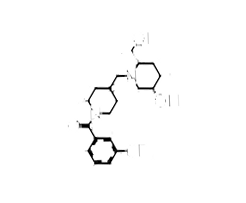 O=C(c1cccc(C(F)(F)F)c1)N1CCC(CN2C[C@H](O)CC[C@@H]2CO)CC1